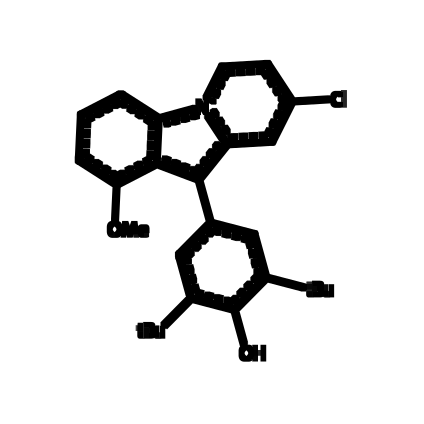 COc1cccc2c1c(-c1cc(C(C)(C)C)c(O)c(C(C)(C)C)c1)c1cc(Cl)ccn12